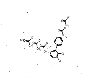 CC(=O)[O-].CC(=O)[O-].CC(=O)[O-].CC(=O)[O-].CC(=O)[O-].Clc1cccc(-c2ccccc2)c1Cl.[C+4].[Na+]